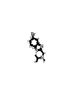 CC(C)N(C)Cc1nc2cc(Br)ccc2s1